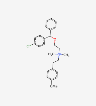 COc1ccc(CC[N+](C)(C)CCOC(c2ccccc2)c2ccc(Cl)cc2)cc1